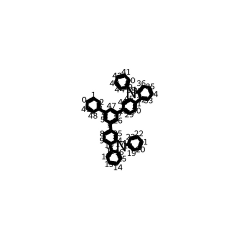 c1ccc(-c2cc(-c3ccc4c5ccccc5n(-c5ccccc5)c4c3)cc(-c3ccc4c5ccccc5n(-c5ccccc5)c4c3)c2)cc1